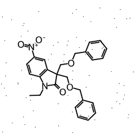 CCN1C(=O)C(COCc2ccccc2)(COCc2ccccc2)c2cc([N+](=O)[O-])ccc21